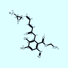 CCOC(=O)c1c(N=O)cc(O)c(Cl)c1CC(=O)/C=C/C=C\[C@@H]1O[C@H]1C